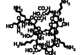 NCCCC[C@H](NC(=O)[C@H](CO)NC(=O)[C@H](CC(=O)O)NC(=O)[C@H](CCCCN)NC(=O)[C@H](CO)NC(=O)[C@H](CC(=O)O)NC(=O)[C@H](CCCCN)NC(=O)[C@H](CO)NC(=O)[C@H](CC(=O)O)NC(=O)[C@H](CCCCN)NC(=O)[C@@H](N)CO)C(=O)N[C@@H](CC(=O)O)C(=O)O